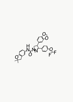 CC1(C)Cc2cc(NC(=O)N3CC(c4ccc5c(c4)OCO5)C(c4ccc(OC(F)F)cc4)=N3)ccc2O1